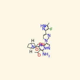 CC(=O)c1c([C@H]2C[C@H]3CC[C@@H](C2)N3C(=O)CO)nc2c(N3C=NC(c4n[nH]c(C)c4F)=CC3)cnn2c1N